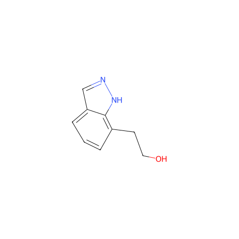 OCCc1cccc2cn[nH]c12